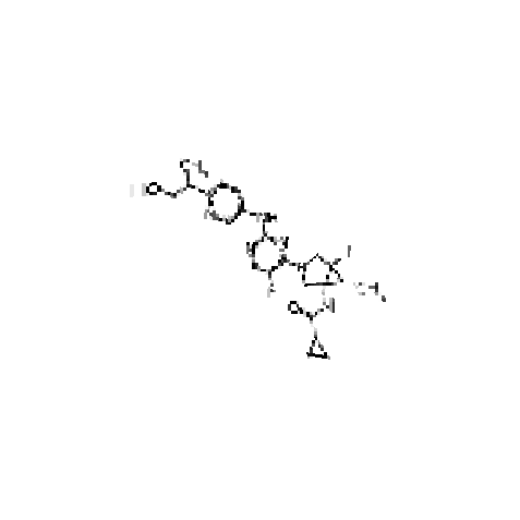 C[C@H](CO)c1ccc(Nc2ncc(F)c(N3C[C@@H]4[C@H](C)[C@@]4(NC(=O)C4CC4)C3)n2)cn1